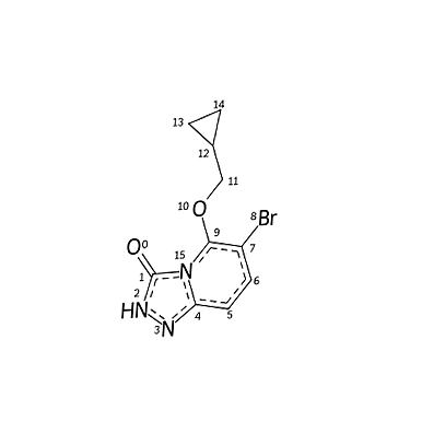 O=c1[nH]nc2ccc(Br)c(OCC3CC3)n12